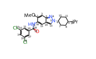 COc1cc2nn([C@H]3CC[C@H](C(C)C)CC3)cc2cc1NC(=O)c1cc(Cl)cc(Cl)c1